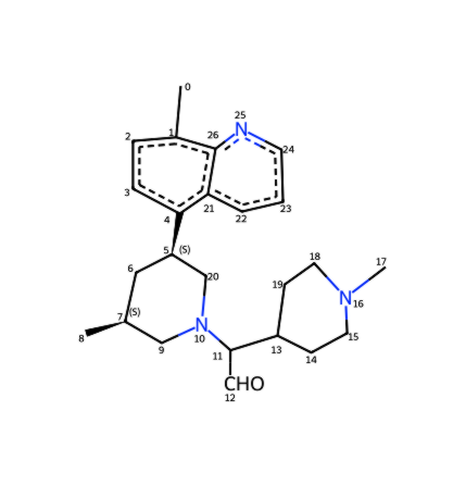 Cc1ccc([C@@H]2C[C@H](C)CN(C(C=O)C3CCN(C)CC3)C2)c2cccnc12